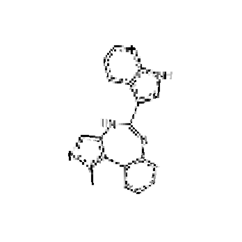 c1ccc2c(c1)N=C(c1c[nH]c3ncccc13)Nc1cn[nH]c1-2